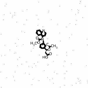 COC(=O)N(Cc1cccc([C@H](CC(=O)O)OC(C)C)c1)c1ccnc2ccccc12